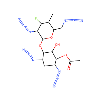 CC(=O)OC1C(N=[N+]=[N-])CC(N=[N+]=[N-])C(OC2OC(CN=[N+]=[N-])C(C)C(F)C2N=[N+]=[N-])C1O